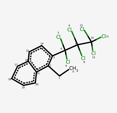 C[CH]c1c(C(Cl)(Cl)C(Cl)(Cl)C(Cl)(Cl)Cl)ccc2ccccc12